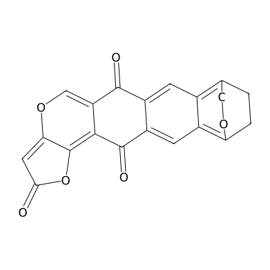 O=C1c2cc3c(cc2C(=O)c2c1coc1cc(=O)oc2-1)=C1CCC=3CO1